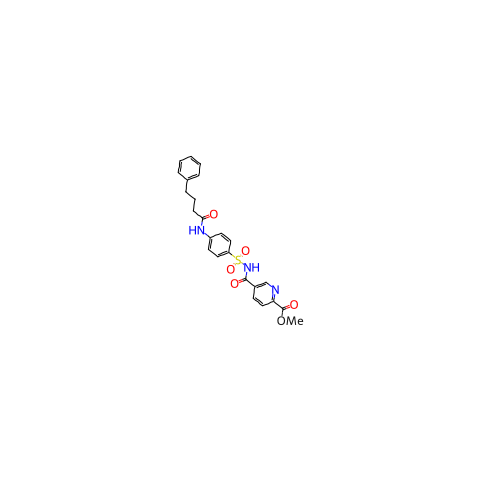 COC(=O)c1ccc(C(=O)NS(=O)(=O)c2ccc(NC(=O)CCCc3ccccc3)cc2)cn1